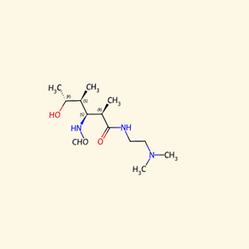 C[C@@H]([C@H](NC=O)[C@@H](C)C(=O)NCCN(C)C)[C@@H](C)O